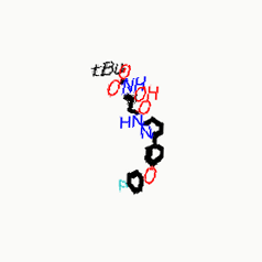 CC(C)(C)OC(=O)NC[C@H](O)CC(=O)Nc1cccc(-c2ccc(Oc3ccc(F)cc3)cc2)n1